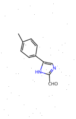 Cc1ccc(-c2cnc(C=O)[nH]2)cc1